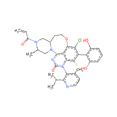 C=CC(=O)N1CC2CCOc3c(Cl)c(-c4c(O)cccc4O)c(F)c4c3c(nc(=O)n4-c3c(C)ccnc3C(C)C)N2CC1C